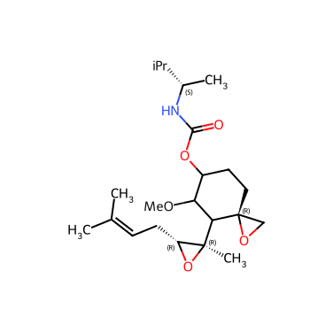 COC1C(OC(=O)N[C@@H](C)C(C)C)CC[C@]2(CO2)C1[C@@]1(C)O[C@@H]1CC=C(C)C